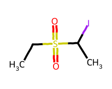 CCS(=O)(=O)C(C)I